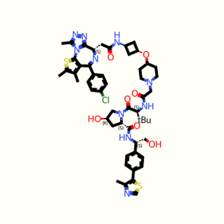 Cc1ncsc1-c1ccc([C@@H](CO)NC(=O)[C@@H]2C[C@@H](O)CN2C(=O)[C@@H](NC(=O)CN2CCC(O[C@H]3C[C@H](NC(=O)C[C@@H]4N=C(c5ccc(Cl)cc5)c5c(sc(C)c5C)-n5c(C)nnc54)C3)CC2)C(C)(C)C)cc1